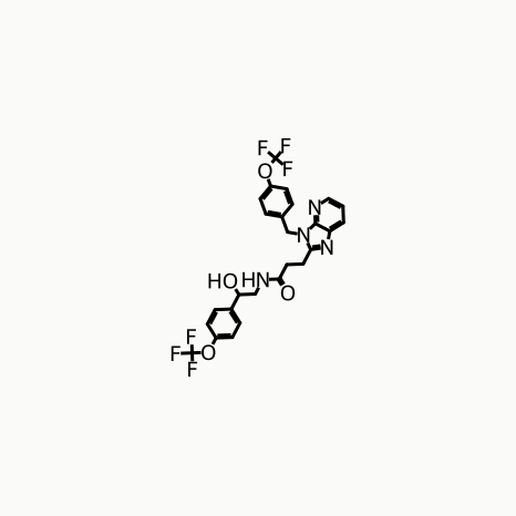 O=C(CCc1nc2cccnc2n1Cc1ccc(OC(F)(F)F)cc1)NCC(O)c1ccc(OC(F)(F)F)cc1